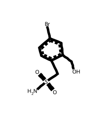 NS(=O)(=O)Cc1ccc(Br)cc1CO